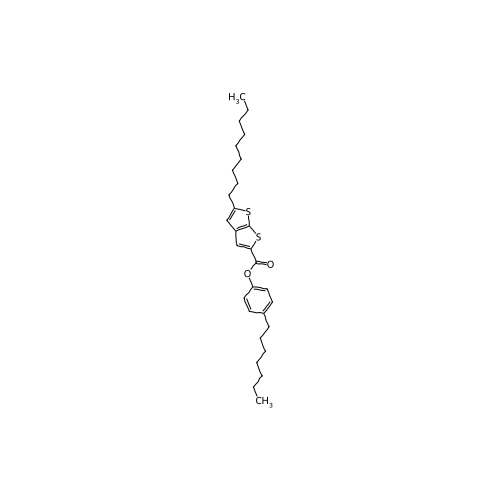 CCCCCCCCCc1cc2cc(C(=O)Oc3ccc(CCCCCCC)cc3)sc2s1